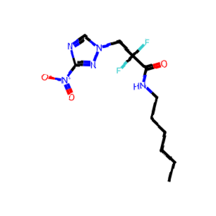 CCCCCCNC(=O)C(F)(F)Cn1cnc([N+](=O)[O-])n1